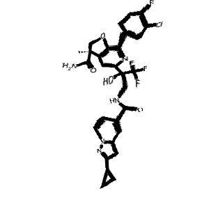 C[C@]1(C(N)=O)COc2c1cc(C(O)(CNC(=O)c1ccn3nc(C4CC4)cc3c1)C(F)(F)F)nc2-c1ccc(F)c(Cl)c1